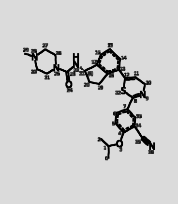 CC(C)Oc1ccc(C2=NCC=C(c3cccc4c3CC[C@@H]4NC(=O)N3CCN(C)CC3)S2)cc1C#N